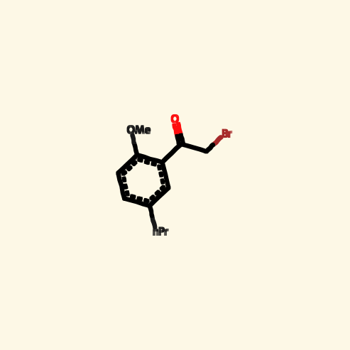 CCCc1ccc(OC)c(C(=O)CBr)c1